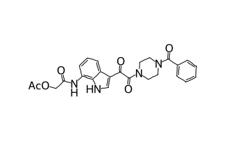 CC(=O)OCC(=O)Nc1cccc2c(C(=O)C(=O)N3CCN(C(=O)c4ccccc4)CC3)c[nH]c12